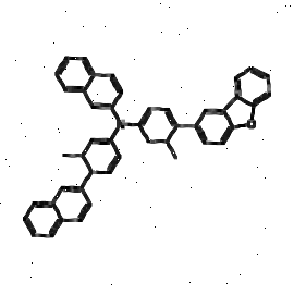 CC1CC(N(C2=CC(C)C(c3ccc4ccccc4c3)C=C2)c2ccc3ccccc3c2)=CC=C1c1ccc2oc3ccccc3c2c1